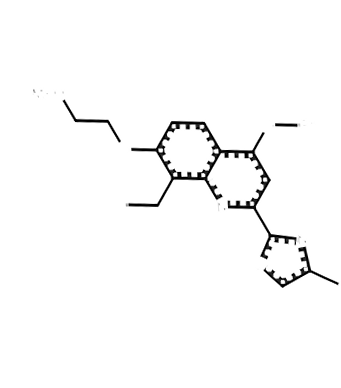 COCCOc1ccc2c(OC(C)C)cc(-c3nc(C)cs3)nc2c1CI